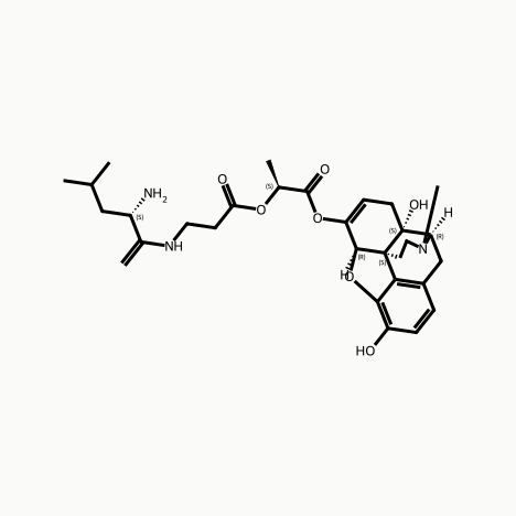 C=C(NCCC(=O)O[C@@H](C)C(=O)OC1=CC[C@@]2(O)[C@H]3Cc4ccc(O)c5c4[C@@]2(CCN3C)[C@H]1O5)[C@@H](N)CC(C)C